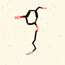 CCCCCCCCCCCCOc1cc(O)cc(CO)c1